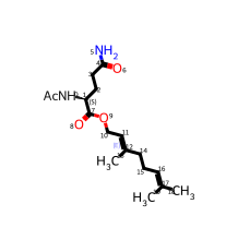 CC(=O)N[C@@H](CCC(N)=O)C(=O)OC/C=C(\C)CCC=C(C)C